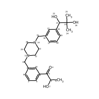 CC(O)C(=O)c1cccc(CN2CCN(Cc3cccc(C(O)C(C)(C)O)c3)CC2)c1